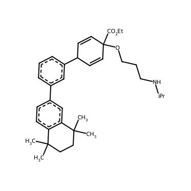 CCOC(=O)C1(OCCCNC(C)C)C=CC(c2cccc(-c3ccc4c(c3)C(C)(C)CCC4(C)C)c2)C=C1